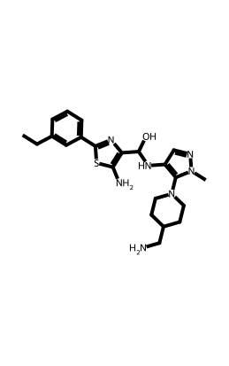 CCc1cccc(-c2nc(C(O)Nc3cnn(C)c3N3CCC(CN)CC3)c(N)s2)c1